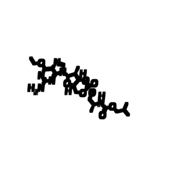 CCOc1nc(N)nc2c1ncn2[C@@H]1O[C@@H]2CO[P@](=O)(OC[C@H](C)NC(=O)OCC(C)C)O[C@H]2[C@@H]1C